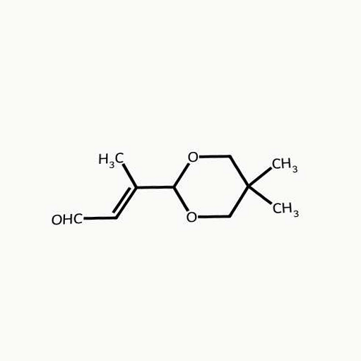 CC(=CC=O)C1OCC(C)(C)CO1